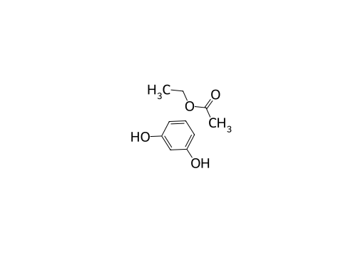 CCOC(C)=O.Oc1cccc(O)c1